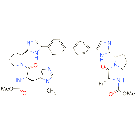 COC(=O)N[C@H](Cc1cncn1C)C(=O)N1CCC[C@H]1c1ncc(-c2ccc(-c3ccc(-c4cnc([C@@H]5CCCN5C(=O)[C@H](NC(=O)OC)C(C)C)[nH]4)cc3)cc2)[nH]1